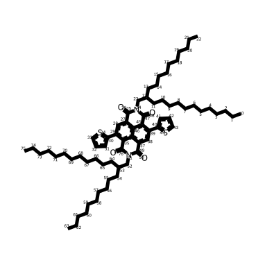 CCCCCCCCCCCCC(CCCCCCCCCC)CN1C(=O)c2cc(-c3cccs3)c3c4c(cc(-c5cccs5)c(c24)C1=O)C(=O)N(CC(CCCCCCCCCC)CCCCCCCCCCCC)C3=O